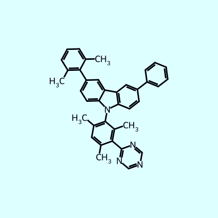 Cc1cccc(C)c1-c1ccc2c(c1)c1cc(-c3ccccc3)ccc1n2-c1c(C)cc(C)c(-c2ncncn2)c1C